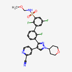 COCNS(=O)(=O)c1cc(F)cc(-c2cccc(-c3nn(C4CCOCC4)cc3-c3ccnc(C#N)c3)c2F)c1F